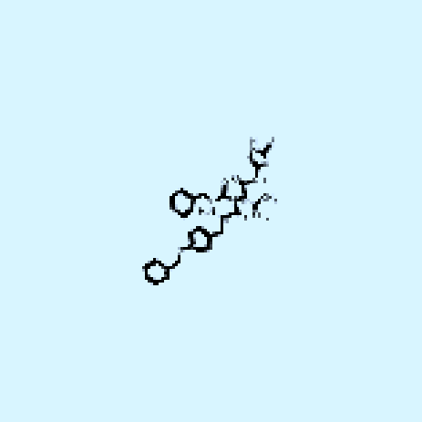 CC(C)[C@@H](C(=O)Nc1n[nH]c(=S)s1)N(C(=O)OCc1ccccc1)C(=O)[C@@H](N)Cc1ccc(OCc2ccccc2)cc1